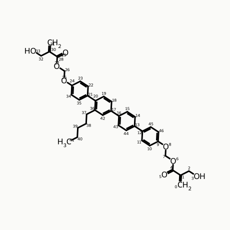 C=C(CO)C(=O)OCOc1ccc(-c2ccc(-c3ccc(-c4ccc(OCOC(=O)C(=C)CO)cc4)c(CCCCC)c3)cc2)cc1